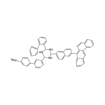 N#Cc1ccc(-c2cccc(C3NC(c4ccc5cc(-c6c7ccccc7cc7c6ccc6ccccc67)ccc5c4)NC(c4ccccc4-c4ccccc4)N3)c2)cc1